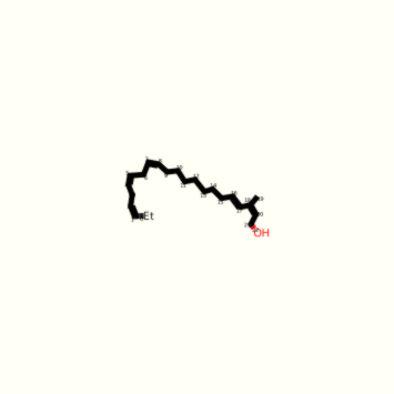 CC/C=C\C/C=C\C/C=C\CCCCCCC/C=C/C(C)=C\CO